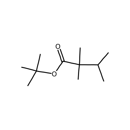 CC(C)C(C)(C)C(=O)OC(C)(C)C